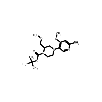 COCC1CN(c2cnc(N)cc2OC)CCN1C(=O)OC(C)(C)C